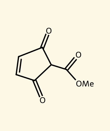 COC(=O)C1C(=O)C=CC1=O